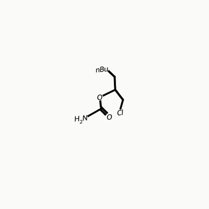 CCCCCC(CCl)OC(N)=O